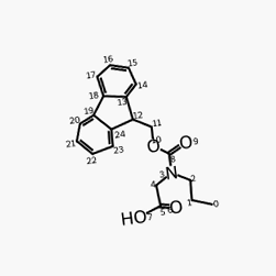 CCCN(CC(=O)O)C(=O)OCC1c2ccccc2-c2ccccc21